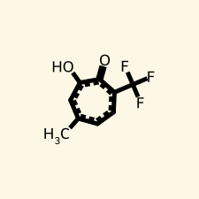 Cc1ccc(C(F)(F)F)c(=O)c(O)c1